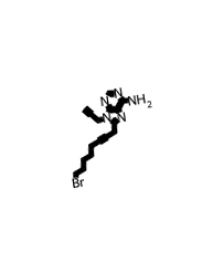 C#CCn1c(CC#CCCCCCBr)nc2c(N)ncnc21